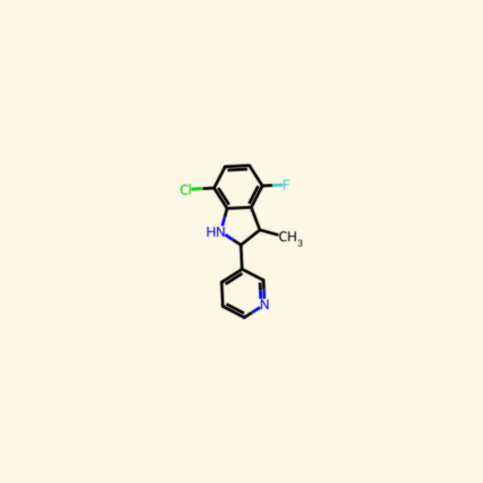 CC1c2c(F)ccc(Cl)c2NC1c1cccnc1